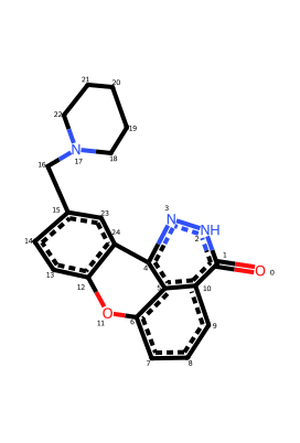 O=c1[nH]nc2c3c(cccc13)Oc1ccc(CN3CCCCC3)cc1-2